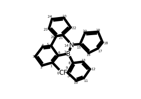 FC(F)(F)c1cccc2c1B(c1ccccc1)N(c1ccccc1)c1ccccc1-2